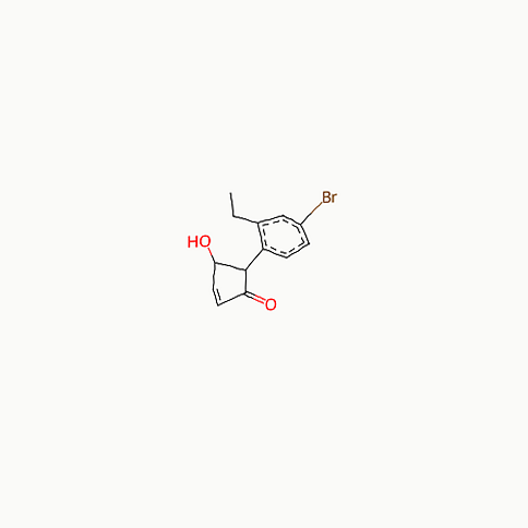 CCc1cc(Br)ccc1C1C(=O)C=CC1O